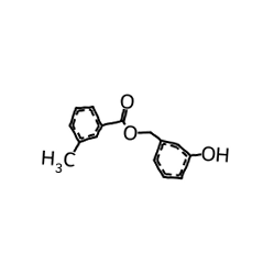 Cc1cccc(C(=O)OCc2cccc(O)c2)c1